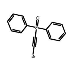 O=P(C#CBr)(c1ccccc1)c1ccccc1